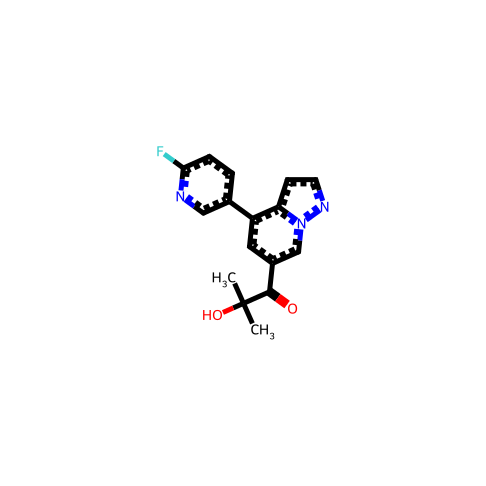 CC(C)(O)C(=O)c1cc(-c2ccc(F)nc2)c2ccnn2c1